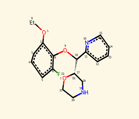 CCOc1cccc(F)c1OC(c1ccccn1)[C@@H]1CNCCO1